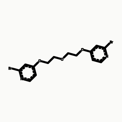 Brc1cc(OCCOCCOc2ccnc(Br)c2)ccn1